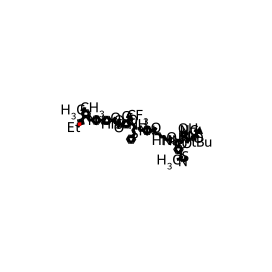 CCC12CC(C3=C(CN4CCN(c5ccc(C(=O)NS(=O)(=O)c6ccc(N[C@H](CCN7CCN(C(=O)CCCCNC(=O)C[C@H](NC(=O)[C@@H]8C[C@@H](O)CN8C(=O)[C@@H](NC(=O)C8(C#N)CC8)C(C)(C)C)c8ccc(-c9scnc9C)cc8)CC7)CSc7ccccc7)c(S(=O)(=O)C(F)(F)F)c6)cc5)CC4)CCC(C)(C)C3)(C1)C2